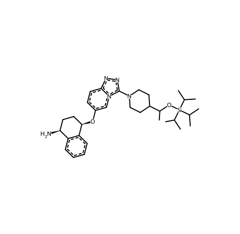 CC(O[Si](C(C)C)(C(C)C)C(C)C)C1CCN(c2nnc3ccc(O[C@@H]4CC[C@H](N)c5ccccc54)cn23)CC1